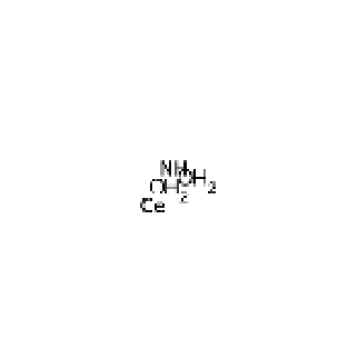 N.O.O.[Ce]